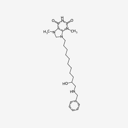 CN1CN(CCCCCCCCCC(O)CNCc2ccccc2)c2c1c(=O)[nH]c(=O)n2C